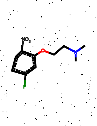 CN(C)CCOc1cc(F)ccc1[N+](=O)[O-]